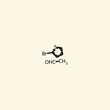 Brc1cccs1.CC=O